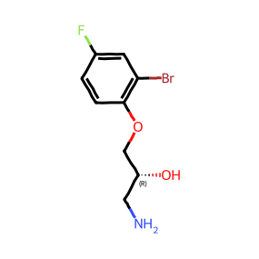 NC[C@@H](O)COc1ccc(F)cc1Br